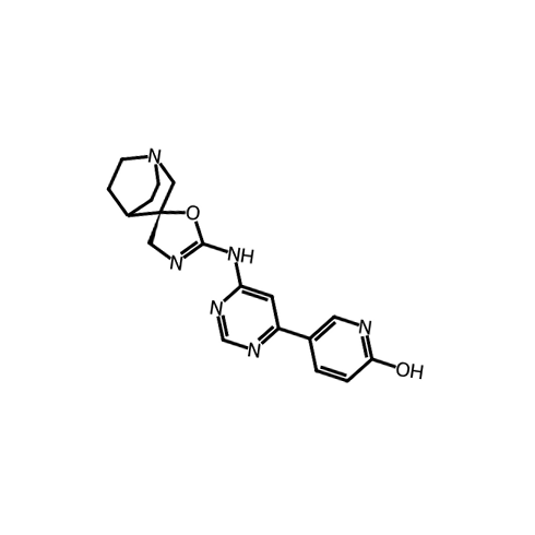 Oc1ccc(-c2cc(NC3=NC[C@@]4(CN5CCC4CC5)O3)ncn2)cn1